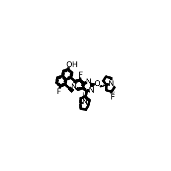 C#Cc1c(F)ccc2cc(O)cc(-c3ncc4c(C5=CC6CCC(C5)N6)nc(OC[C@@]56CCCN5C[C@H](F)C6)nc4c3F)c12